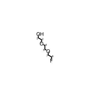 OCCOCCOCCF